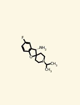 CC(C)N1CCC2(CC1)Oc1ccc(F)cc1[C@@H]2N